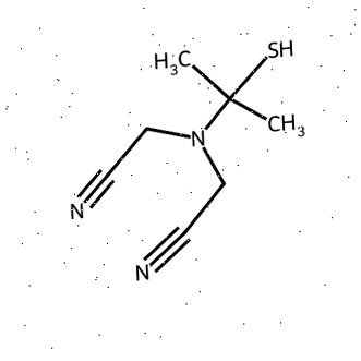 CC(C)(S)N(CC#N)CC#N